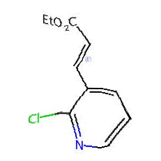 CCOC(=O)/C=C/c1cccnc1Cl